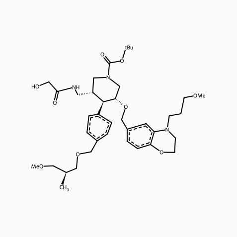 COCCCN1CCOc2ccc(CO[C@H]3CN(C(=O)OC(C)(C)C)C[C@@H](CNC(=O)CO)[C@@H]3c3ccc(COC[C@@H](C)COC)cc3)cc21